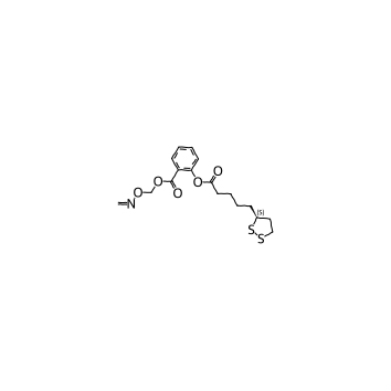 C=NOCOC(=O)c1ccccc1OC(=O)CCCC[C@H]1CCSS1